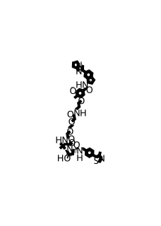 COc1cc(C(=O)N[C@@H]2CCc3ccc(-c4cn5c(n4)CCC5)cc32)cc(OCCCNC(=O)COCCOCC(=O)NC(C(=O)N2C[C@H](O)C[C@H]2C(=O)NCc2ccc(-c3scnc3C)cc2)C(C)(C)C)c1C